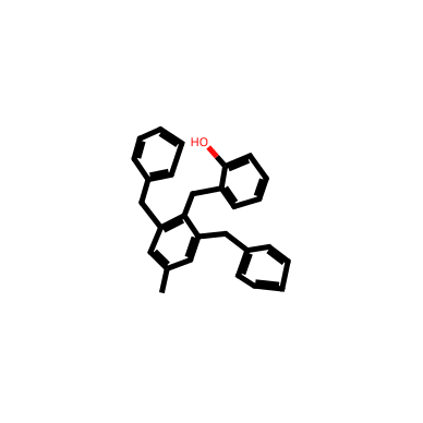 Cc1cc(Cc2ccccc2)c(Cc2ccccc2O)c(Cc2ccccc2)c1